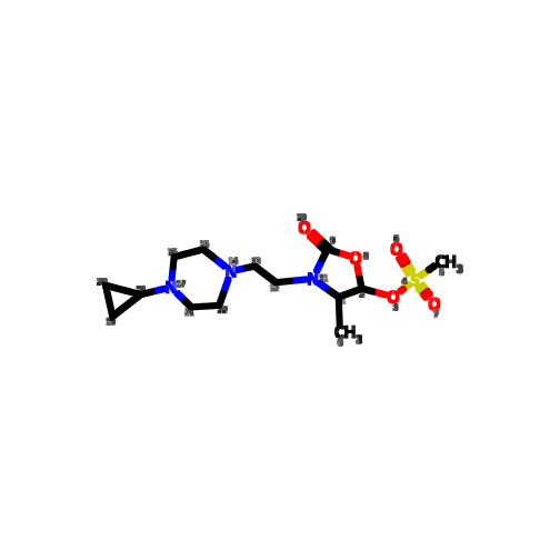 CC1C(OS(C)(=O)=O)OC(=O)N1CCN1CCN(C2CC2)CC1